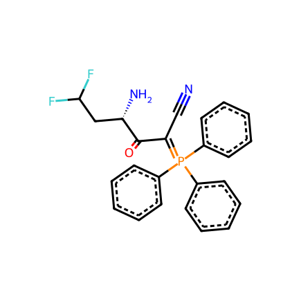 N#CC(C(=O)[C@@H](N)CC(F)F)=P(c1ccccc1)(c1ccccc1)c1ccccc1